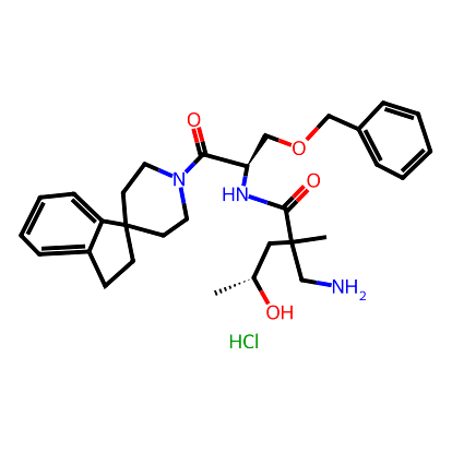 C[C@@H](O)CC(C)(CN)C(=O)N[C@H](COCc1ccccc1)C(=O)N1CCC2(CCc3ccccc32)CC1.Cl